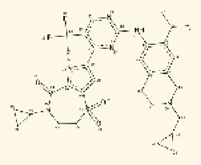 CC(C)c1cc2c(cc1Nc1ncc(C(F)(F)F)c(-c3cc4c(s3)C(=O)N(C3CC3)CCS4(=O)=O)n1)CCN(CC1CC1)C2